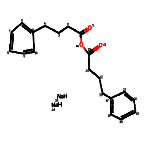 O=C(CCCc1ccccc1)OC(=O)CCCc1ccccc1.[NaH].[NaH]